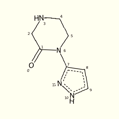 O=C1CNCCN1c1cc[nH]n1